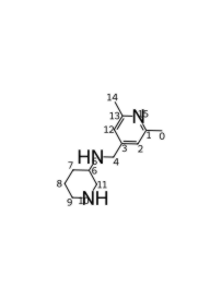 Cc1cc(CNC2CCCNC2)cc(C)n1